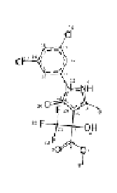 COC(=O)C(O)(c1c(C)[nH]n(-c2cc(Cl)cc(Cl)c2)c1=O)C(F)(F)F